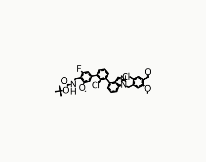 COc1cc(Cn2ncc3c(-c4cccc(-c5cc(F)c(CNC(=O)OC(C)(C)C)c(OC)c5)c4Cl)cccc32)c(Cl)cc1C=O